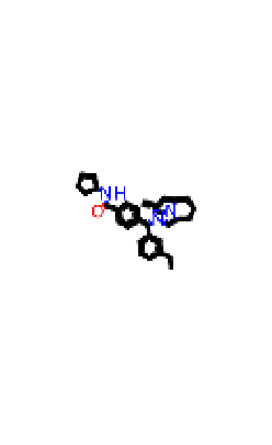 C=CCN1C2CCCC1CN(C(c1ccc(C(=O)NC3CCCC3)cc1)c1cccc(CC)c1)CC2